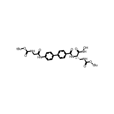 CC(C)(C)OC(=O)NCC(=O)Nc1ccc(-c2ccc(C(=O)N[C@@H](CNC(=O)OC(C)(C)C)C(=O)NO)cc2)cc1